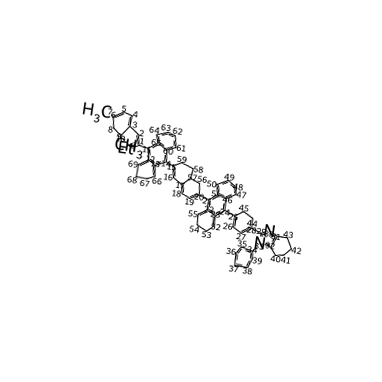 CC/C(=C\C1=CC=C(C)CC1C)c1c2c(c(C3=CC4=CC=C(c5c6c(c(C7=CC=C(c8nc9c(n8-c8ccccc8)CCCC9)CC7)c7ccccc57)=CCCC=6)CC4CC3)c3ccccc13)=CCCC=2